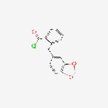 O=C(Cl)c1ccccc1Cc1ccc2c(c1)OCO2